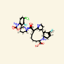 O=C1Nc2ccc(Cl)c(F)c2[C@@]2(CCCN(C(=O)C3CCCCC(C(=O)O)Nc4ccc(F)cc4-c4ccnc3c4)C2)O1